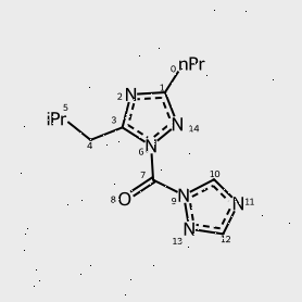 CCCc1nc(CC(C)C)n(C(=O)n2cncn2)n1